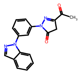 CC(=O)C1=NN(c2cccc(-n3ncc4ccccc43)c2)C(=O)C1